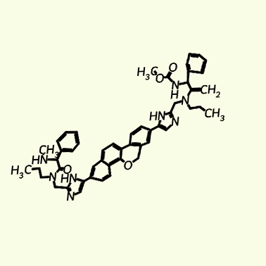 C=C(C(NC(=O)OC)c1ccccc1)N(CCC)Cc1ncc(-c2ccc3c(c2)COc2c-3ccc3cc(-c4cnc(CN(CCC)C(=O)C(NC)c5ccccc5)[nH]4)ccc23)[nH]1